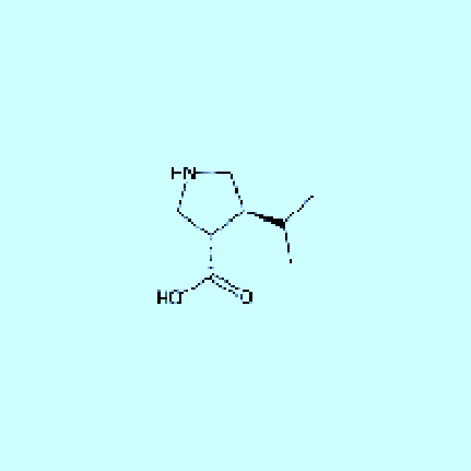 CC(C)[C@@H]1CNC[C@H]1C(=O)O